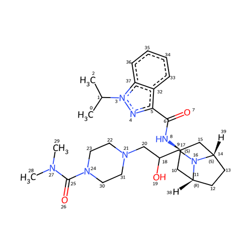 CC(C)n1nc(C(=O)N[C@@H]2C[C@H]3CC[C@@H](C2)N3CC(O)CN2CCN(C(=O)N(C)C)CC2)c2ccccc21